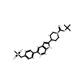 CC(C)(C)OC(=O)N1CCC(c2cc3cc(-c4ccc(CS(C)(=O)=O)cc4)ncc3o2)CC1